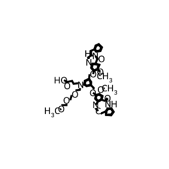 COCCOCCOCCN(CCCC(=O)O)c1cc(COc2cc3c(cc2OC)C(=O)N2c4ccccc4C[C@H]2C=N3)cc(COc2cc3c(cc2OC)C(=O)Nc2ccccc2CC/C=N\3)c1